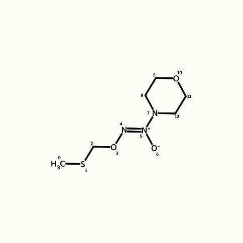 CSCO/N=[N+](\[O-])N1CCOCC1